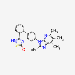 CCCc1nc2c(C)c(C)c(C)nc2n1-c1ccc(-c2ccccc2-c2nc(=O)s[nH]2)cc1